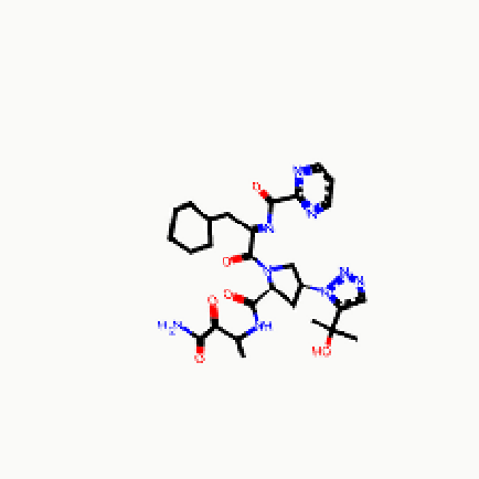 CC(NC(=O)[C@@H]1C[C@H](n2nncc2C(C)(C)O)CN1C(=O)/C(CC1CCCCC1)=N/C(=O)c1ncccn1)C(=O)C(N)=O